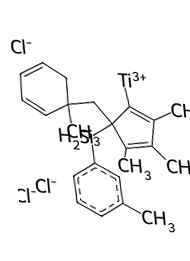 CC1=C(C)C(CC2(C)C=CC=CC2)([SiH2]c2cccc(C)c2)[C]([Ti+3])=C1C.[Cl-].[Cl-].[Cl-]